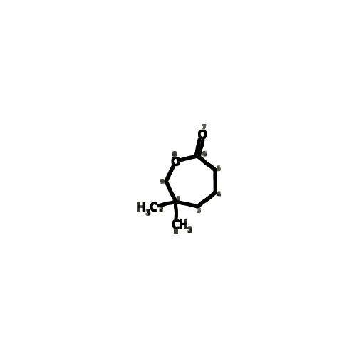 CC1(C)CCCC(=O)OC1